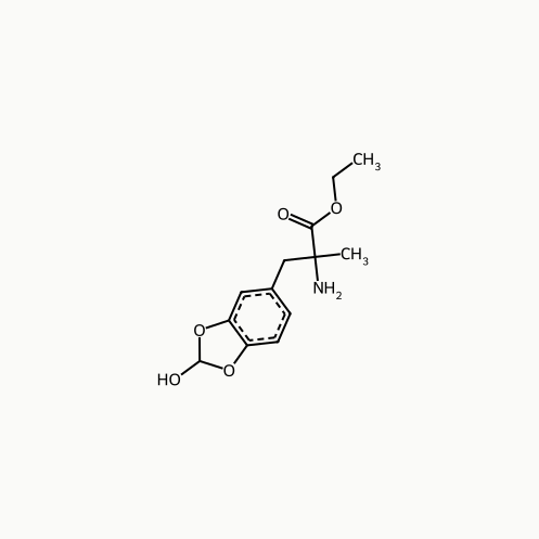 CCOC(=O)C(C)(N)Cc1ccc2c(c1)OC(O)O2